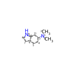 CN(C)c1ccc2c[c][nH]c2c1